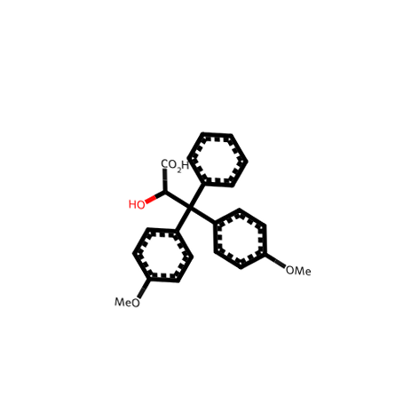 COc1ccc(C(c2ccccc2)(c2ccc(OC)cc2)C(O)C(=O)O)cc1